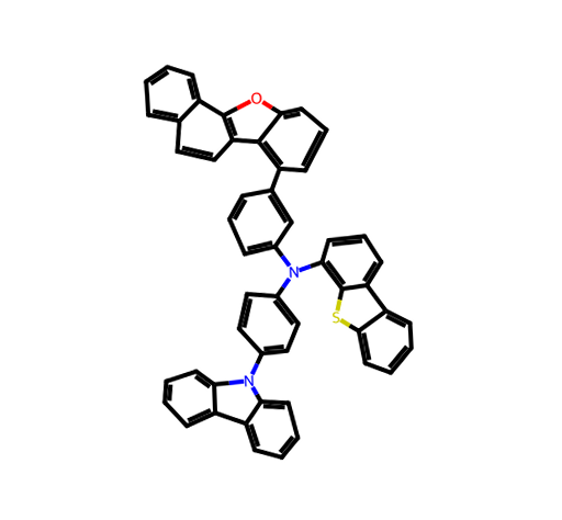 c1cc(-c2cccc3oc4c5ccccc5ccc4c23)cc(N(c2ccc(-n3c4ccccc4c4ccccc43)cc2)c2cccc3c2sc2ccccc23)c1